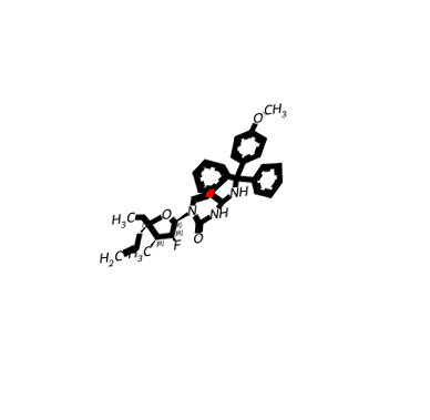 C=CC[C@]1(CC)O[C@@H](N2C=CC(NC(c3ccccc3)(c3ccccc3)c3ccc(OC)cc3)NC2=O)[C@H](F)[C@@H]1C